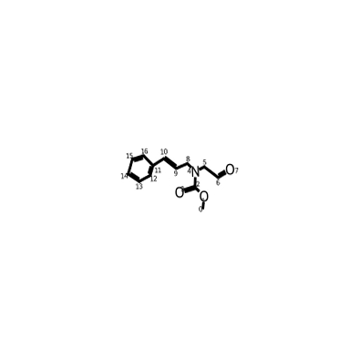 COC(=O)N(CC=O)CC=Cc1ccccc1